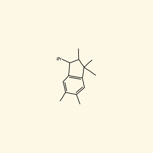 Cc1cc2c(cc1C)C(C)(C)C(C)C2C(C)C